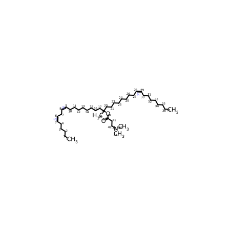 CCCCC/C=C\C/C=C\CCCCCCCCC(C)(CCCCCCCC/C=C\CCCCCCCC)OC(=O)CCN(C)C